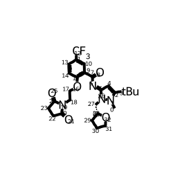 Cn1c(C(C)(C)C)cc(=NC(=O)c2cc(C(F)(F)F)ccc2OCCN2C(=O)CCC2=O)n1C[C@H]1CCCO1